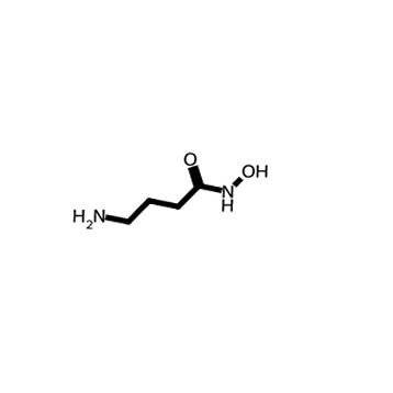 NCCCC(=O)NO